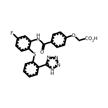 O=C(O)COc1ccc(C(=O)Nc2cc(F)ccc2Sc2ccccc2-c2nnn[nH]2)cc1